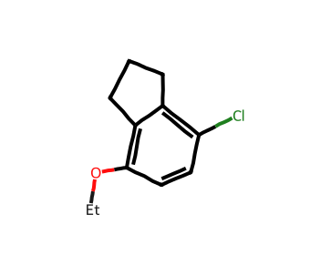 CCOc1ccc(Cl)c2c1CCC2